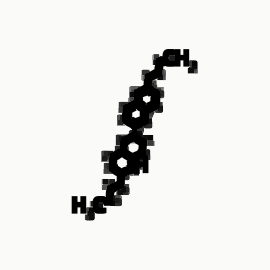 C=CCCc1ccc2cc([C@@H]3CC[C@@H]4CC(CCCC)CCC4C3)ccc2c1